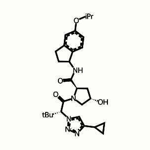 CC(C)Oc1ccc2c(c1)CCC2NC(=O)[C@H]1C[C@H](O)CN1C(=O)[C@H](n1cc(C2CC2)nn1)C(C)(C)C